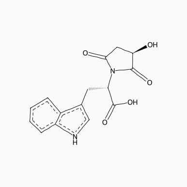 O=C(O)[C@H](Cc1c[nH]c2ccccc12)N1C(=O)C[C@@H](O)C1=O